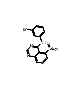 O=[N+]([O-])c1cccc2ncnc(Nc3cccc(Br)c3)c12